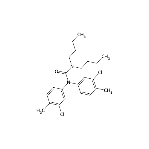 CCCCN(CCCC)C(=O)N(c1ccc(C)c(Cl)c1)c1ccc(C)c(Cl)c1